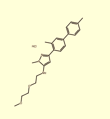 COCCOCCNc1cc(-c2ccc(-c3ccc(C)cc3)cc2C)nn1C.Cl